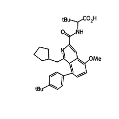 COc1ccc(-c2ccc(C(C)(C)C)cc2)c2c(CC3CCCC3)nc(C(=O)NC(C(=O)O)C(C)(C)C)cc12